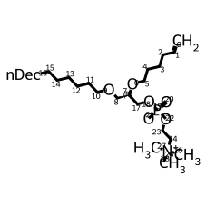 C=CCCCCO[C@H](COCCCCCCCCCCCCCCCC)COP(=O)([O-])OCC[N+](C)(C)C